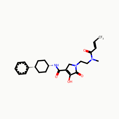 CN(CCN1CC(C(=O)N[C@H]2CC[C@@H](c3ccccc3)CC2)=C(O)C1=O)C(=O)/C=C/C(F)(F)F